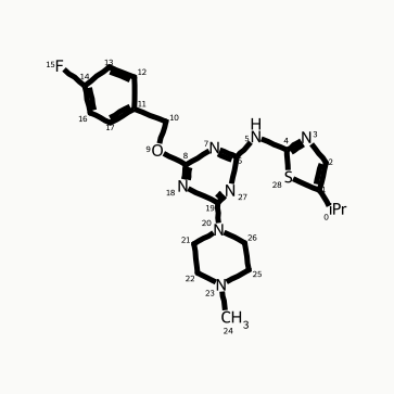 CC(C)c1cnc(Nc2nc(OCc3ccc(F)cc3)nc(N3CCN(C)CC3)n2)s1